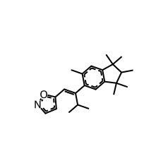 Cc1cc2c(cc1C(=Cc1ccno1)C(C)C)C(C)(C)C(C)C2(C)C